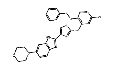 Clc1ccc(OCc2ccccc2)c(Cc2nc(-c3nc4ccc(N5CCOCC5)cc4[nH]3)cs2)c1